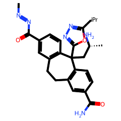 CN=NC(=O)c1ccc2c(c1)CCc1cc(C(N)=O)ccc1C2(C[C@@H](C)N)c1nnc(C(C)C)o1